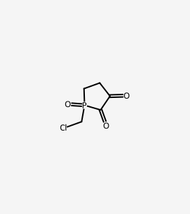 O=C1CCP(=O)(CCl)C1=O